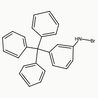 BrNc1cccc(C(c2ccccc2)(c2ccccc2)c2ccccc2)c1